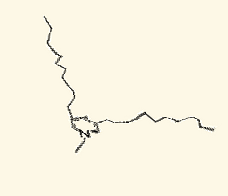 CCCCCCCCCc1cc(CCCCCCCCC)c[n+](CC)c1